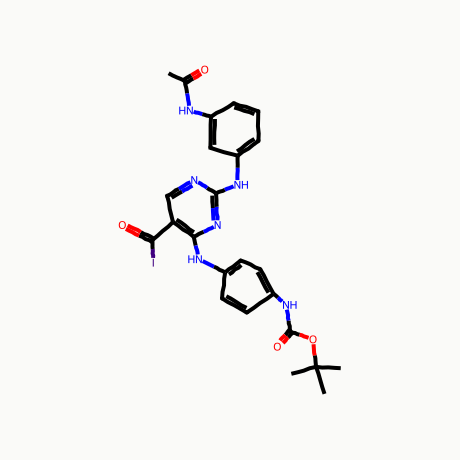 CC(=O)Nc1cccc(Nc2ncc(C(=O)I)c(Nc3ccc(NC(=O)OC(C)(C)C)cc3)n2)c1